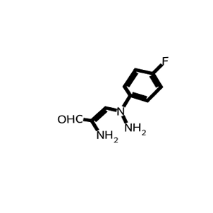 N/C(C=O)=C\N(N)c1ccc(F)cc1